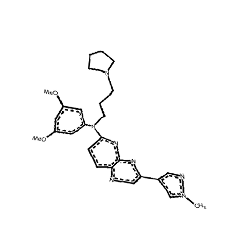 COc1cc(OC)cc(N(CCCN2CCCC2)c2ccc3ncc(-c4cnn(C)c4)nc3n2)c1